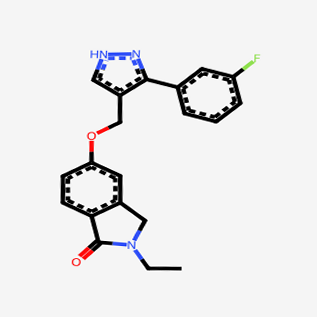 CCN1Cc2cc(OCc3c[nH]nc3-c3cccc(F)c3)ccc2C1=O